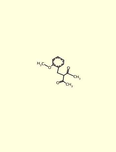 COc1ccccc1CC(C(C)=O)C(C)=O